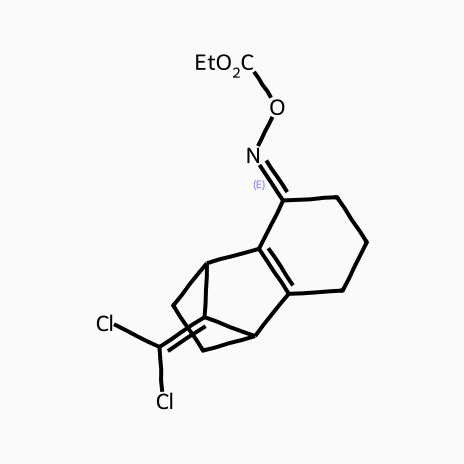 CCOC(=O)O/N=C1\CCCC2=C1C1CCC2C1=C(Cl)Cl